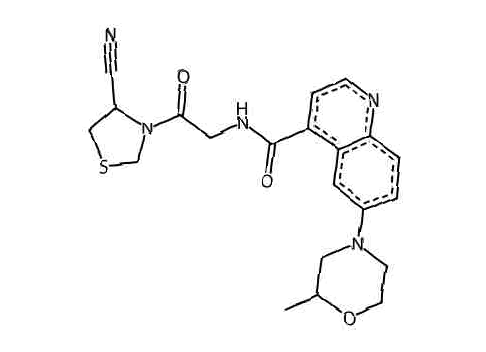 CC1CN(c2ccc3nccc(C(=O)NCC(=O)N4CSCC4C#N)c3c2)CCO1